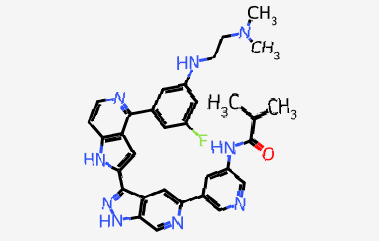 CC(C)C(=O)Nc1cncc(-c2cc3c(-c4cc5c(-c6cc(F)cc(NCCN(C)C)c6)nccc5[nH]4)n[nH]c3cn2)c1